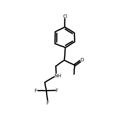 CC(=O)C(CNCC(F)(F)F)c1ccc(Cl)cc1